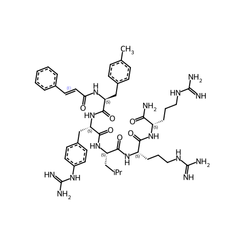 Cc1ccc(C[C@H](NC(=O)/C=C/c2ccccc2)C(=O)N[C@@H](Cc2ccc(NC(=N)N)cc2)C(=O)N[C@@H](CC(C)C)C(=O)N[C@@H](CCCNC(=N)N)C(=O)N[C@@H](CCCNC(=N)N)C(N)=O)cc1